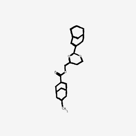 CC1CC2CC(C1)CC(C(=O)OCC1CCOC(C3CC4CCCC(C4)C3)O1)C2